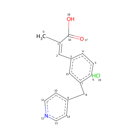 CC(=Cc1cccc(Cc2ccncc2)c1)C(=O)O.Cl